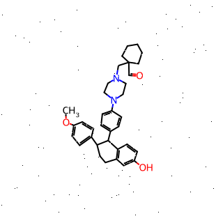 COc1ccc(C2CCc3cc(O)ccc3C2c2ccc(N3CCN(CC4(C=O)CCCCC4)CC3)cc2)cc1